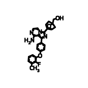 Cc1cccc(Oc2ccc(-c3nc(C4=C5CC(CO)(CC4)O5)n4ccnc(N)c34)cc2)c1F